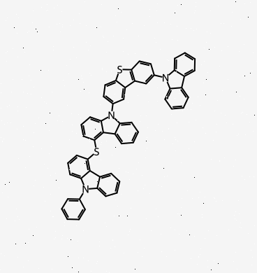 c1ccc(-n2c3ccccc3c3c(Sc4cccc5c4c4ccccc4n5-c4ccc5sc6ccc(-n7c8ccccc8c8ccccc87)cc6c5c4)cccc32)cc1